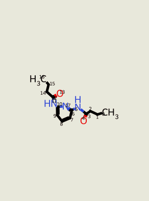 CCCC(=O)Nc1cccc(NC(=O)CCC)n1